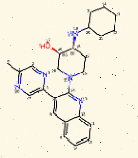 Cc1cnc(-c2cc3ccccc3nc2N2CC[C@H](NC3CCCCC3)[C@H](O)C2)cn1